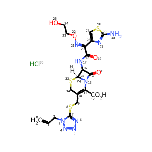 C=CCn1nnnc1SCC1=C(C(=O)O)N2C(=O)C(NC(=O)C(=NOCCO)c3csc(N)n3)[C@@H]2SC1.Cl